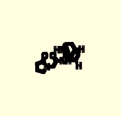 O=C(CN1CCCC1=O)NC12C[C@@H]3CC(C[C@@H](C3)C1)N2